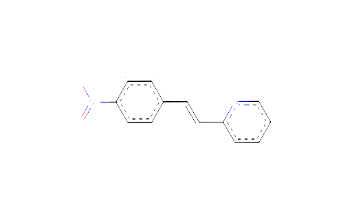 Cl.O=[N+]([O-])c1ccc(C=Cc2ccccn2)cc1